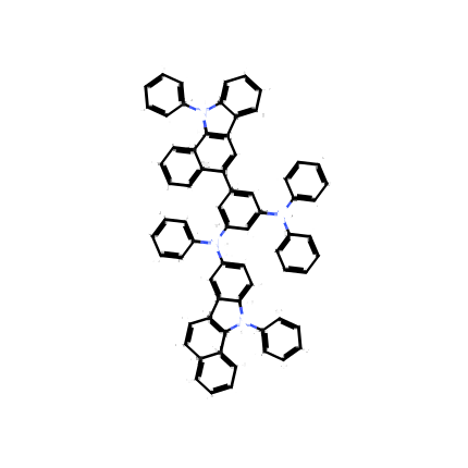 c1ccc(N(c2ccccc2)c2cc(-c3cc4c5ccccc5n(-c5ccccc5)c4c4ccccc34)cc(N(c3ccccc3)c3ccc4c(c3)c3ccc5ccccc5c3n4-c3ccccc3)c2)cc1